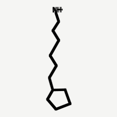 [NH]CCCCCCC1CCCC1